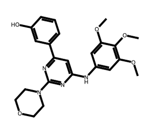 COc1cc(Nc2cc(-c3cccc(O)c3)nc(N3CCOCC3)n2)cc(OC)c1OC